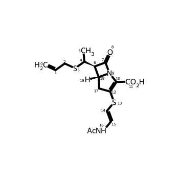 C=CCSC(C)[C@H]1C(=O)N2C(C(=O)O)=C(S/C=C/NC(C)=O)C[C@H]12